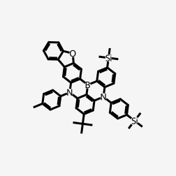 Cc1ccc(N2c3cc4c(cc3B3c5cc([Si](C)(C)C)ccc5N(c5ccc([Si](C)(C)C)cc5)c5cc(C(C)(C)C)cc2c53)oc2ccccc24)cc1